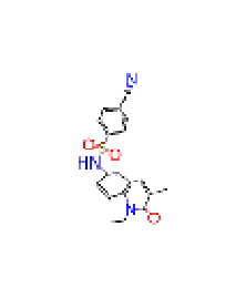 CCn1c(=O)c(C)cc2cc(NS(=O)(=O)c3ccc(C#N)cc3)ccc21